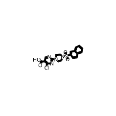 O=C(O)c1cnc(N2CCN(S(=O)(=O)c3ccc4ccccc4c3)CC2)nc1Cl